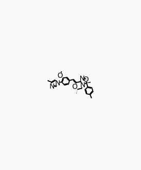 COc1cc(/C=C2\O[C@@H](C)CN3C2=NO[C@]3(C)c2ccc(C)cc2)ccc1-n1cnc(C)c1